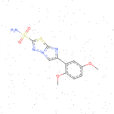 COc1ccc(OC)c(-c2cn3nc(S(N)(=O)=O)sc3n2)c1